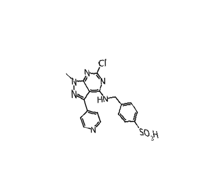 Cn1nc(-c2ccncc2)c2c(NCc3ccc(S(=O)(=O)O)cc3)nc(Cl)nc21